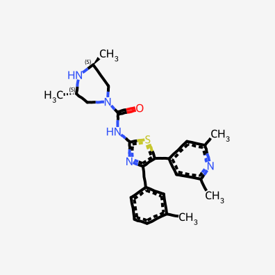 Cc1cccc(-c2nc(NC(=O)N3C[C@H](C)N[C@@H](C)C3)sc2-c2cc(C)nc(C)c2)c1